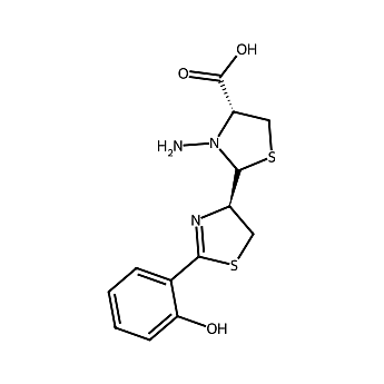 NN1C([C@H]2CSC(c3ccccc3O)=N2)SC[C@H]1C(=O)O